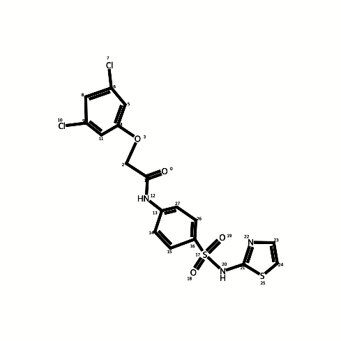 O=C(COc1cc(Cl)cc(Cl)c1)Nc1ccc(S(=O)(=O)Nc2nccs2)cc1